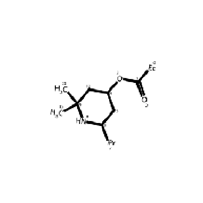 CCC(=O)OC1CC(C(C)C)NC(C)(C)C1